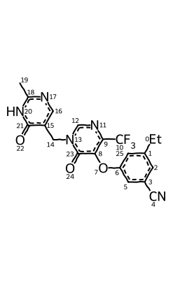 CCc1cc(C#N)cc(Oc2c(C(F)(F)F)ncn(Cc3cnc(C)[nH]c3=O)c2=O)c1